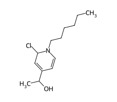 CCCCCCN1C=CC(C(C)O)=CC1Cl